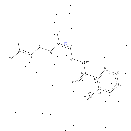 CC(C)=CCC/C(C)=C\COC(=O)c1ccccc1N